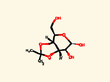 CC1(C)O[C@H]2[C@H](O)[C@@H](O)O[C@H](CO)[C@H]2O1